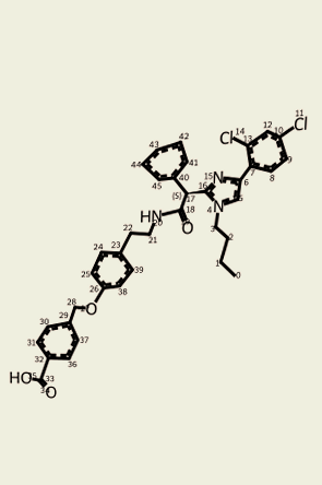 CCCCn1cc(-c2ccc(Cl)cc2Cl)nc1[C@@H](C(=O)NCCc1ccc(OCc2ccc(C(=O)O)cc2)cc1)c1ccccc1